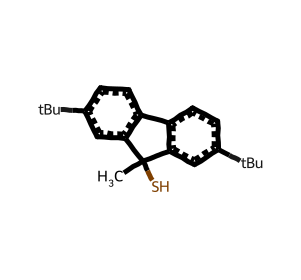 CC(C)(C)c1ccc2c(c1)C(C)(S)c1cc(C(C)(C)C)ccc1-2